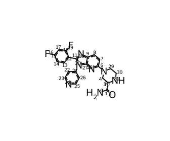 NC(=O)[C@H]1CN(c2ccc3nc(-c4ccc(F)cc4F)n(-c4ccncc4)c3n2)CCN1